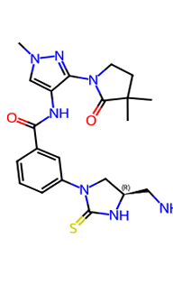 Cn1cc(NC(=O)c2cccc(N3C[C@@H](CN)NC3=S)c2)c(N2CCC(C)(C)C2=O)n1